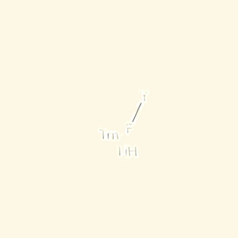 [F][Y].[LiH].[Tm]